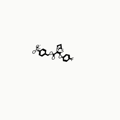 O=C(OCc1ccc([N+](=O)[O-])cc1)C1=C(Oc2ccc(F)cc2)SC2CCN12